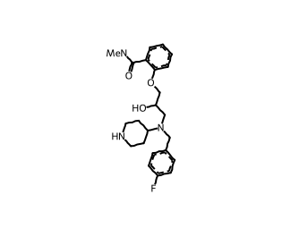 CNC(=O)c1ccccc1OCC(O)CN(Cc1ccc(F)cc1)C1CCNCC1